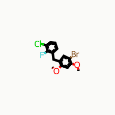 COc1cc(OC)c(Cc2cccc(Cl)c2F)cc1Br